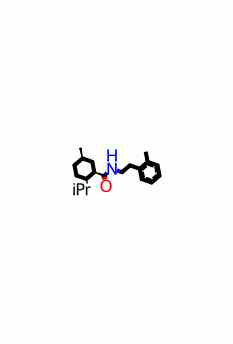 Cc1ccccc1CCNC(=O)[C@@H]1C[C@H](C)CC[C@H]1C(C)C